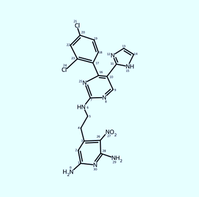 Nc1cc(CCNc2ncc(-c3ncc[nH]3)c(-c3ccc(Cl)cc3Cl)n2)c([N+](=O)[O-])c(N)n1